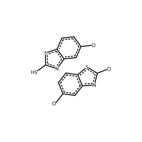 Clc1ccc2sc(Cl)nc2c1.Sc1nc2cc(Cl)ccc2s1